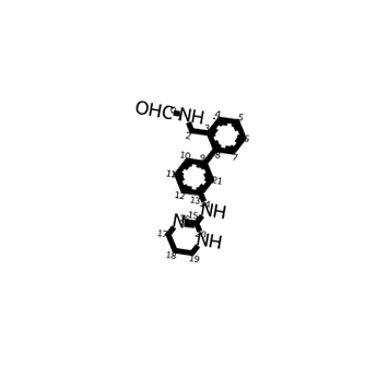 O=CNCc1[c]cccc1-c1cccc(NC2=NCCCN2)c1